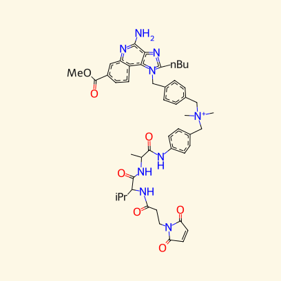 CCCCc1nc2c(N)nc3cc(C(=O)OC)ccc3c2n1Cc1ccc(C[N+](C)(C)Cc2ccc(NC(=O)C(C)NC(=O)C(NC(=O)CCN3C(=O)C=CC3=O)C(C)C)cc2)cc1